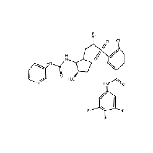 CC[C@@H](CC1CC[C@@H](C)C1NC(=O)Nc1cccnc1)S(=O)(=O)c1cc(C(=O)Nc2cc(F)c(F)c(F)c2)ccc1Cl